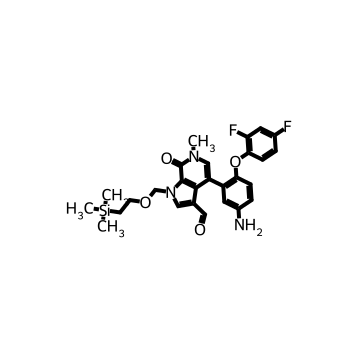 Cn1cc(-c2cc(N)ccc2Oc2ccc(F)cc2F)c2c(C=O)cn(COCC[Si](C)(C)C)c2c1=O